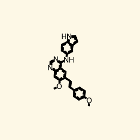 COc1ccc(C=Cc2cc3c(Nc4ccc5[nH]ccc5c4)ncnc3cc2OC)cc1